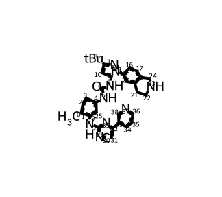 Cc1ccc(NC(=O)Nc2cc(C(C)(C)C)nn2-c2ccc3c(c2)CCNC3)cc1Nc1nccc(-c2cccnc2)n1